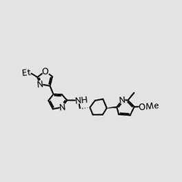 CCc1nc(-c2ccnc(NC[C@H]3CC[C@H](c4ccc(OC)c(C)n4)CC3)c2)co1